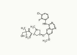 COc1cc2ncnc(Nc3cccc(Cl)c3F)c2cc1O[C@H]1C[C@H](C(=O)NC(C)(C)CO)N(C)C1